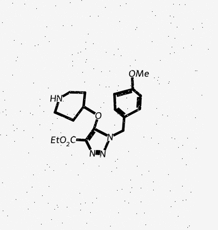 CCOC(=O)c1nnn(Cc2ccc(OC)cc2)c1OC1CCNCC1